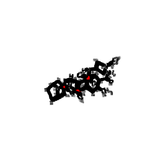 CCN1CC(NC(=O)c2ccc(N3C4CCC3CC(NC(=O)c3cc(C)c(C(N)=O)cc3C)C4)nc2)C1